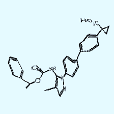 Cc1cnn(-c2ccc(-c3ccc(C4(C(=O)O)CC4)cc3)cc2)c1NC(=O)OC(C)c1ccccc1